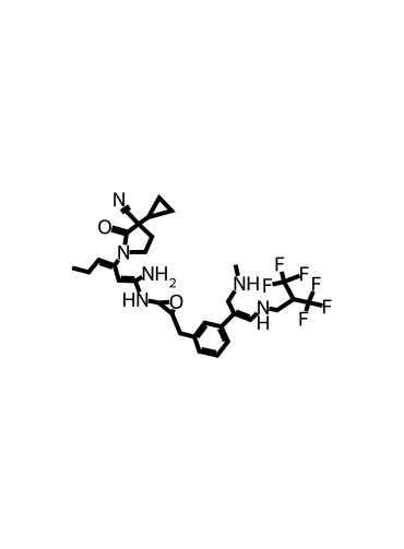 CC/C=C(\C=C(/N)NC1OC1Cc1cccc(/C(=C/NCC(C(F)(F)F)C(F)(F)F)CNC)c1)N1CCC(C#N)(C2CC2)C1=O